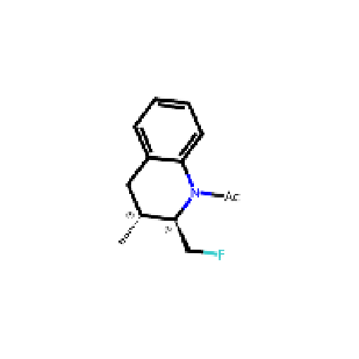 CC(=O)N1c2ccccc2C[C@@H](C)[C@@H]1CF